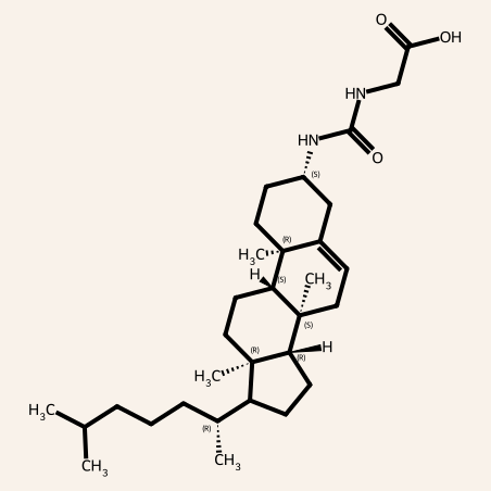 CC(C)CCC[C@@H](C)C1CC[C@H]2[C@]3(C)CC=C4C[C@@H](NC(=O)NCC(=O)O)CC[C@]4(C)[C@H]3CC[C@]12C